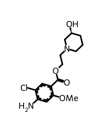 COc1cc(N)c(Cl)cc1C(=O)OCCN1CCC[C@H](O)C1